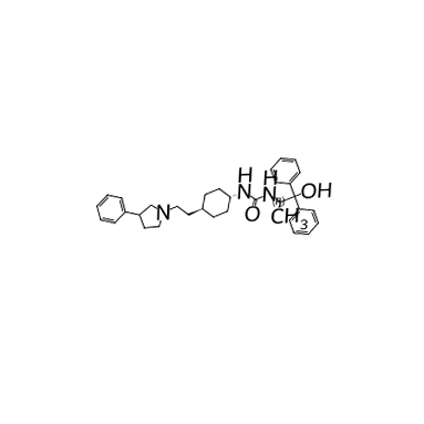 C[C@@H](NC(=O)N[C@H]1CC[C@H](CCN2CCC(c3ccccc3)C2)CC1)C(O)(c1ccccc1)c1ccccc1